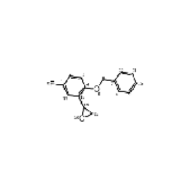 Fc1ccc(OCc2ccccc2)c(C2CO2)c1